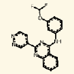 FC(F)Oc1cccc(Nc2nc(-c3ccnnc3)nc3ccccc23)c1